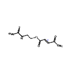 CNC(=S)NCCOC(=O)/C=C/C(=O)OC